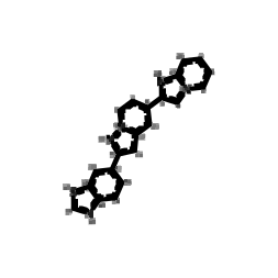 c1ccn2cc(-c3ccn4nc(-c5ccc6ncsc6c5)cc4c3)nc2c1